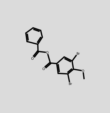 COc1c(Br)cc(C(=O)OC(=O)c2ccccc2)cc1Br